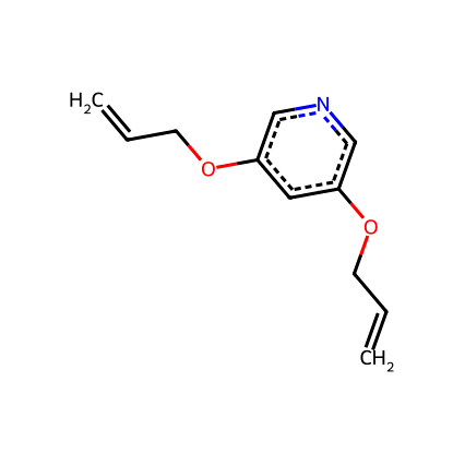 C=CCOc1cncc(OCC=C)c1